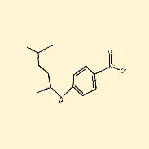 CC(C)CCC(C)Nc1ccc([N+](=O)[O-])cc1